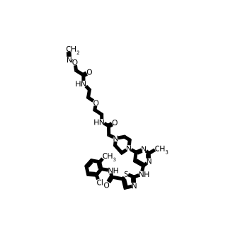 C=NOCC(=O)NCCOCCNC(=O)CN1CCN(c2cc(Nc3ncc(C(=O)Nc4c(C)cccc4Cl)s3)nc(C)n2)CC1